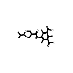 Cc1c(NC(=O)C2COC(C(C)C)OC2)c(I)c(C(=O)Cl)c(C)c1C(=O)Cl